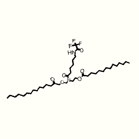 CCCCCCCCCCCCCC(=O)COCN(CCOC(=O)CCCCCCCCCCCCC)C(=O)CCCCCNC(=O)C(F)(F)F